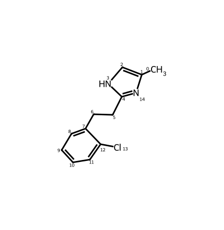 Cc1c[nH]c(CCc2ccccc2Cl)n1